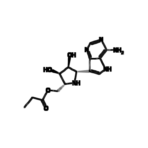 CCC(=O)OC[C@H]1N[C@@H](c2c[nH]c3c(N)ncnc23)[C@H](O)[C@@H]1O